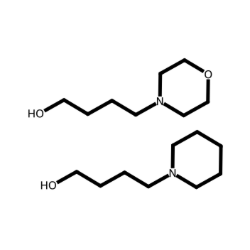 OCCCCN1CCCCC1.OCCCCN1CCOCC1